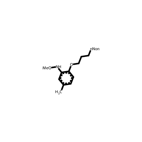 CCCCCCCCCCCCOc1ccc(C)cc1NOC